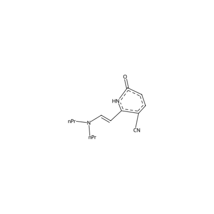 CCCN(C=Cc1[nH]c(=O)ccc1C#N)CCC